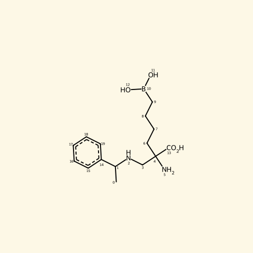 CC(NCC(N)(CCCCB(O)O)C(=O)O)c1ccccc1